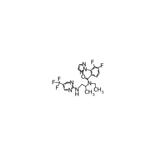 CCN(C(=O)c1ccc(F)c(F)c1-n1nccn1)C(C)CNc1ncc(C(F)(F)F)cn1